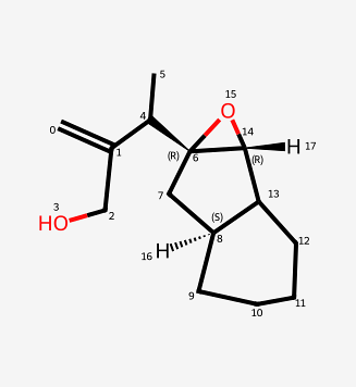 C=C(CO)C(C)[C@]12C[C@@H]3CCCCC3[C@H]1O2